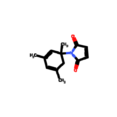 CC1=CC(C)(N2C(=O)C=CC2=O)CC(C)=C1